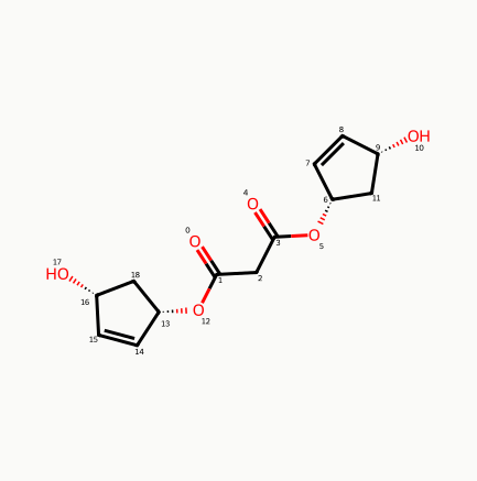 O=C(CC(=O)O[C@@H]1C=C[C@H](O)C1)O[C@@H]1C=C[C@H](O)C1